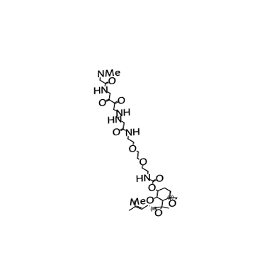 CNCC(=O)NCC(=O)C(=O)CNNCC(=O)NCCOCCOCCNC(=O)OC1CC[C@]2(CO2)C(C2(C)O[C@@H]2CC=C(C)C)C1OC